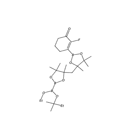 CCOB(OC(C)(C)CC)B1OC(C)(C)C(C)(CC2(C)OB(C3=C(F)C(=O)CCC3)OC2(C)C)O1